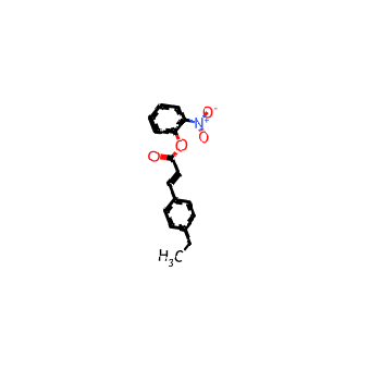 CCc1ccc(C=CC(=O)Oc2ccccc2[N+](=O)[O-])cc1